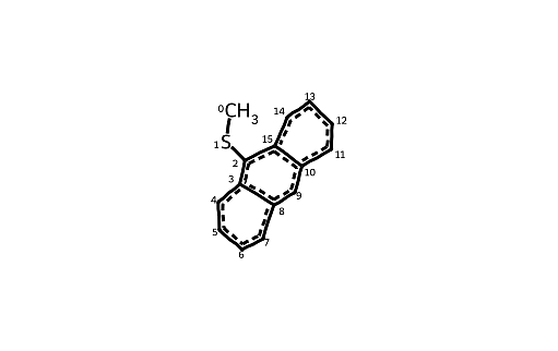 CSc1c2ccccc2cc2ccccc12